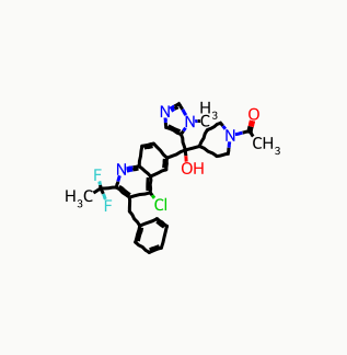 CC(=O)N1CCC(C(O)(c2ccc3nc(C(C)(F)F)c(Cc4ccccc4)c(Cl)c3c2)c2cncn2C)CC1